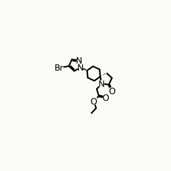 CCOC(=O)CN1C(=O)CC[C@]12CC[C@H](n1cc(Br)cn1)CC2